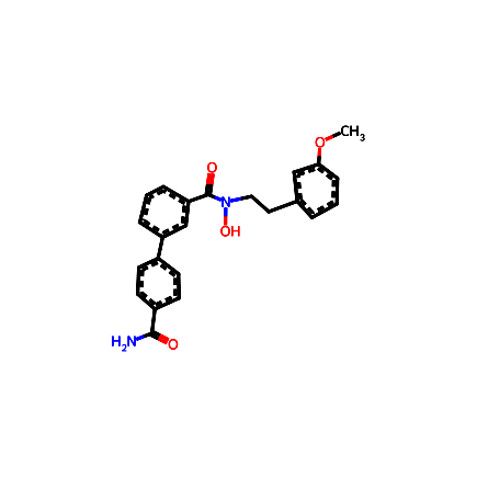 COc1cccc(CCN(O)C(=O)c2cccc(-c3ccc(C(N)=O)cc3)c2)c1